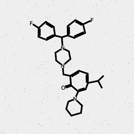 CC(C)c1ccc(CN2CCN(C(c3ccc(F)cc3)c3ccc(F)cc3)CC2)c(=O)c(N2CCCCC2)c1